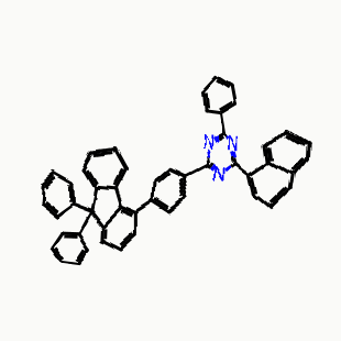 c1ccc(-c2nc(-c3ccc(-c4cccc5c4-c4ccccc4C5(c4ccccc4)c4ccccc4)cc3)nc(-c3cccc4ccccc34)n2)cc1